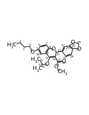 CCCCOc1ccc2c(c1)C(OC(C)C)=C(C(=O)OC)C(c1ccc3c(c1)OCO3)O2